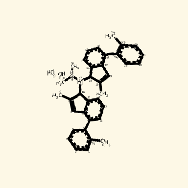 CC1=Cc2c(-c3ccccc3C)cccc2[CH]1[Hf]([CH]1C(C)=Cc2c(-c3ccccc3C)cccc21)[SiH](C)C.Cl.Cl